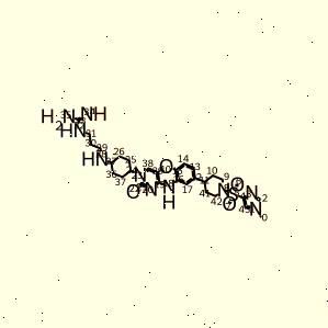 Cn1cnc(S(=O)(=O)N2CCC(c3ccc4c(c3)Nc3nc(=O)n(C5CCC(NCCCNC(=N)N)CC5)cc3O4)CC2)c1